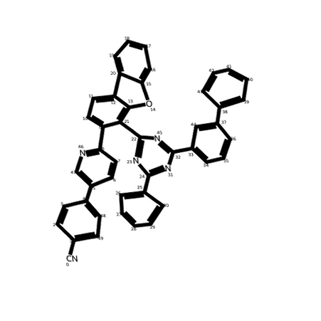 N#Cc1ccc(-c2ccc(-c3ccc4c(oc5ccccc54)c3-c3nc(-c4ccccc4)nc(-c4cccc(-c5ccccc5)c4)n3)nc2)cc1